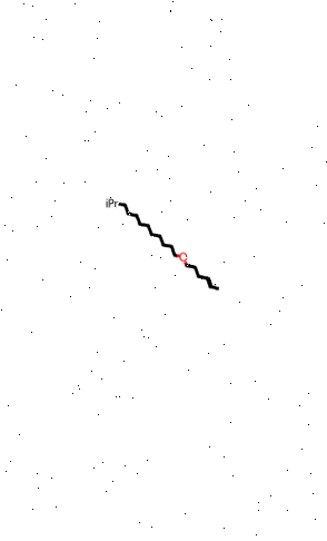 CC=CCCCOCCCCCCCCCCC(C)C